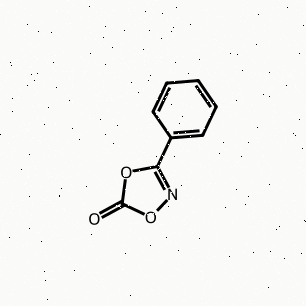 O=c1onc(-c2ccccc2)o1